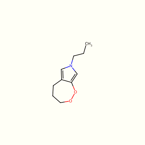 CCCn1cc2c(c1)OOCCC2